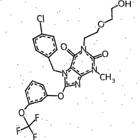 Cn1c(=O)n(CCOCCO)c(=O)c2c1nc(Oc1cccc(OC(F)(F)F)c1)n2Cc1ccc(Cl)cc1